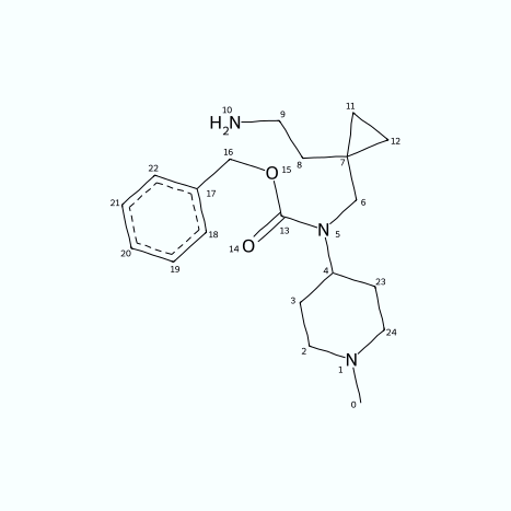 CN1CCC(N(CC2(CCN)CC2)C(=O)OCc2ccccc2)CC1